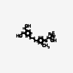 Cc1cc(CCCc2ccc(CO)c(CO)c2)ccc1SCC(O)C(F)(F)F